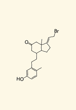 Cc1ccc(O)cc1CCC1CC(=O)CC2(C)C(=CCBr)CCC12